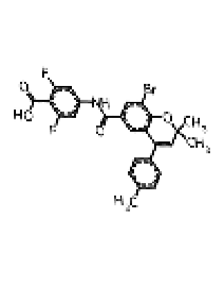 Cc1ccc(C2=CC(C)(C)Oc3c(Br)cc(C(=O)Nc4cc(F)c(C(=O)O)c(F)c4)cc32)cc1